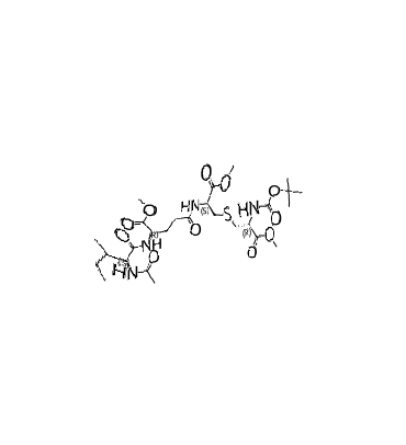 CCC(C)[C@H](NC(C)=O)C(=O)N[C@H](CCC(=O)N[C@H](CSC[C@H](NC(=O)OC(C)(C)C)C(=O)OC)C(=O)OC)C(=O)OC